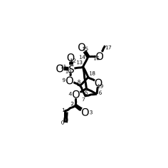 C=CC(=O)OC1C2CC3OS(=O)(=O)C1(C(=O)OC)C3O2